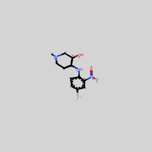 Bc1ccc(NC2CCN(C)CC2O)c([N+](=O)[O-])c1